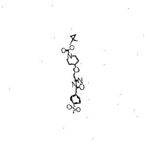 CC1(COC(=O)N2CCC(OCc3noc(-c4ccc(S(C)(=O)=O)cc4)n3)CC2)CC1